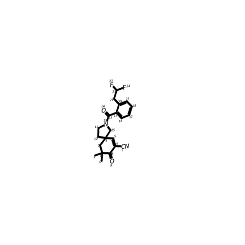 CC1(C)CC2(C=C(C#N)C1=O)CCN(C(=O)c1ccccc1CC(F)F)C2